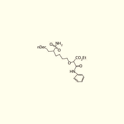 CCCCCCCCCCCC(CCCCOC(C(=O)Nc1ccccc1)C(=O)OCC)S(N)(=O)=O